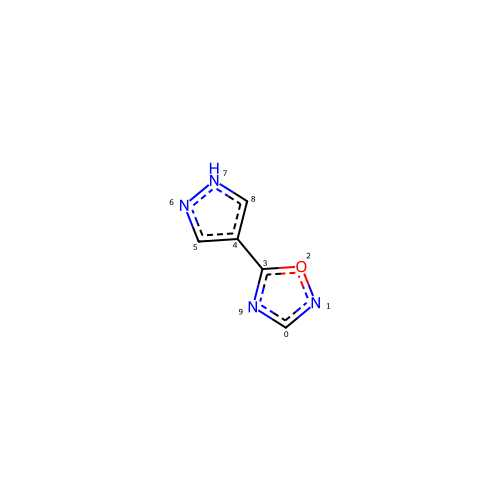 c1noc(-c2cn[nH]c2)n1